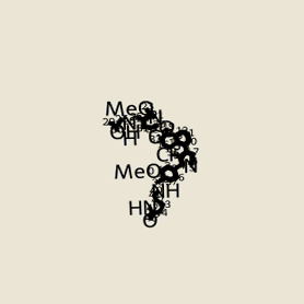 COc1cc(-c2nccc(-c3cccc4c3CCCC4Oc3nc(OC)c(CNCC(C)O)cc3C(F)(F)F)c2Cl)ccc1CNCC1CCC(=O)N1